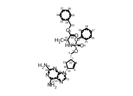 C[C@H](NP(=O)(OC[C@@H]1C=C[C@H](n2cnc3c(N)nc(N)nc32)C1)Oc1ccccc1)C(=O)OCc1ccccc1